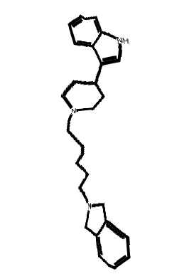 c1ccc2c(c1)CN(CCCCCN1CCC(c3c[nH]c4ccccc34)CC1)C2